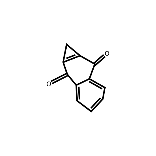 O=C1C2=C(C2)C(=O)c2ccccc21